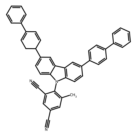 Cc1cc(C#N)cc(C#N)c1-n1c2ccc(-c3ccc(-c4ccccc4)cc3)cc2c2cc(C3C=CC(c4ccccc4)=CC3)ccc21